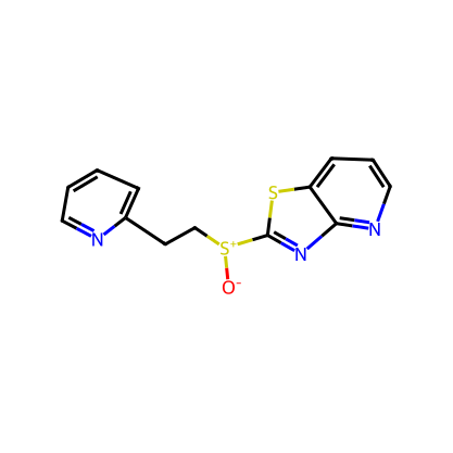 [O-][S+](CCc1ccccn1)c1nc2ncccc2s1